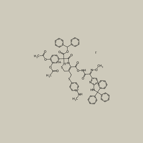 CN[n+]1ccc(SCC2=C(C(=O)ONC(=O)C(=NOC)c3csc(NC(c4ccccc4)(c4ccccc4)c4ccccc4)n3)N3C(=O)C(C(=O)OC(c4ccccc4)c4ccccc4)(c4ccc(OC(C)=O)c(OC(C)=O)c4)[C@@H]3SC2)cc1.[I-]